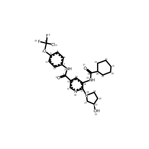 O=C(Nc1ccc(OC(F)(F)Cl)cc1)c1cnc(N2CC[C@@H](O)C2)c(NC(=O)C2CCCCC2)c1